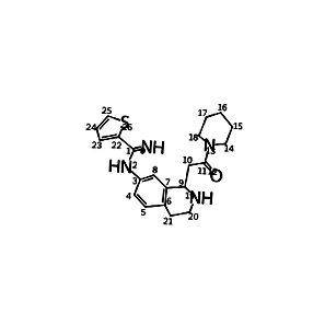 N=C(Nc1ccc2c(c1)C(CC(=O)N1CCCCC1)NCC2)c1cccs1